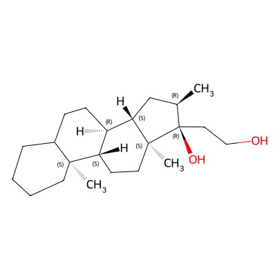 C[C@@H]1C[C@H]2[C@@H]3CCC4CCCC[C@]4(C)[C@H]3CC[C@]2(C)[C@@]1(O)CCO